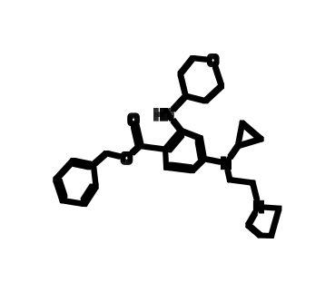 O=C(OCc1ccccc1)c1ccc(N(CCN2CCCC2)C2CC2)cc1NC1CCOCC1